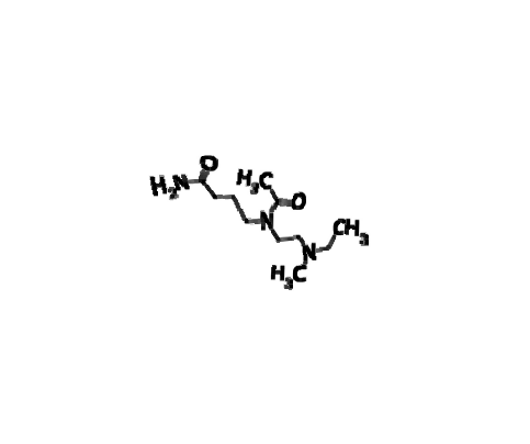 CCN(C)CCN(CCCC(N)=O)C(C)=O